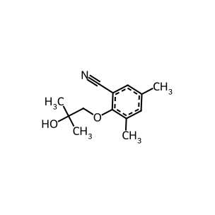 Cc1cc(C)c(OCC(C)(C)O)c(C#N)c1